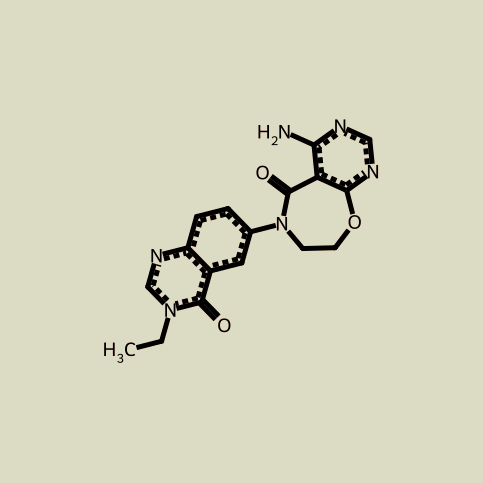 CCn1cnc2ccc(N3CCOc4ncnc(N)c4C3=O)cc2c1=O